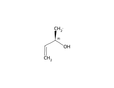 [CH2][C@@H](O)C=C